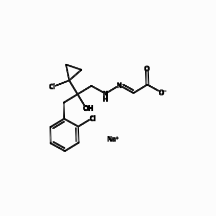 O=C([O-])/C=N/NCC(O)(Cc1ccccc1Cl)C1(Cl)CC1.[Na+]